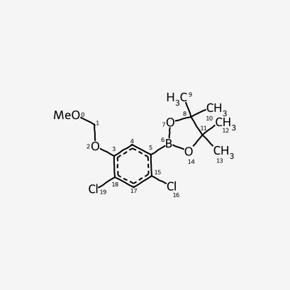 COCOc1cc(B2OC(C)(C)C(C)(C)O2)c(Cl)cc1Cl